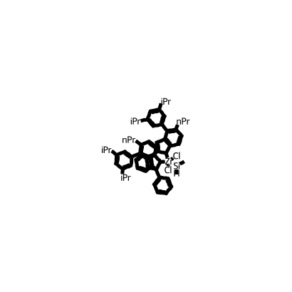 CCCc1ccc2c(c1-c1cc(C(C)C)cc(C(C)C)c1)C=C(c1ccccc1)[CH]2[Zr]([Cl])([Cl])([CH]1C(c2ccccc2)=Cc2c1ccc(CCC)c2-c1cc(C(C)C)cc(C(C)C)c1)[SiH](C)C